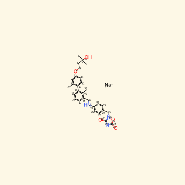 Cc1cc(OCCC(C)(C)O)ccc1-c1cccc(CNc2ccc(Cn3oc(=O)[n-]c3=O)cc2)c1C.[Na+]